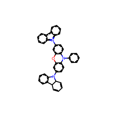 C1=CC2c3ccccc3N(c3ccc4c(c3)Oc3cc(-n5c6ccccc6c6ccccc65)ccc3N4c3ccccc3)C2C=C1